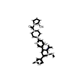 C=NN1C=C(c2cnn(C)c2)C=C(c2ccc(N3CCN(C(=O)N4CCC[C@H]4C#N)CC3)nc2)/C1=C(/C)C#N